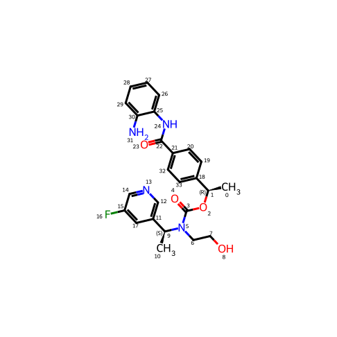 C[C@@H](OC(=O)N(CCO)[C@@H](C)c1cncc(F)c1)c1ccc(C(=O)Nc2ccccc2N)cc1